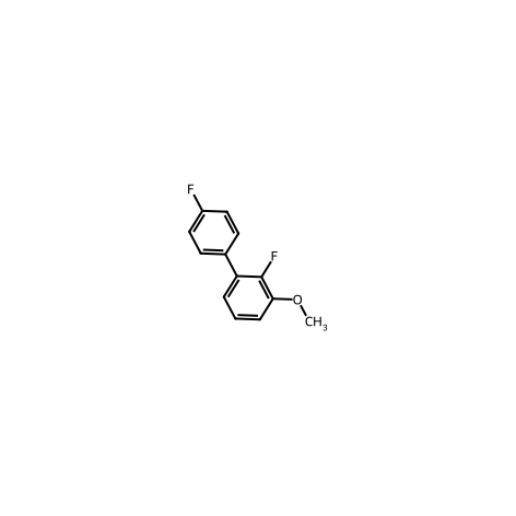 COc1cccc(-c2ccc(F)cc2)c1F